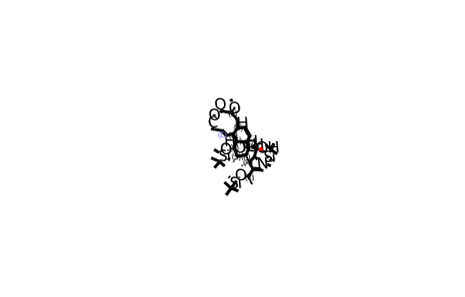 CO[C@H]1C[C@H]2C=C[C@H]3[C@H]4O[C@]2(/C=C/CCOC1=O)[C@@H]3[C@H](O[Si](C)(C)C(C)(C)C)[C@@H](C)[C@@H]4[C@]1(C)C([C@@H](C)O[Si](C)(C)C(C)(C)C)=C[N+](C)([Si](C)(C)C(C)(C)C)C1C(=O)O